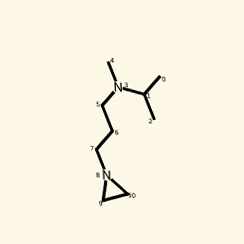 CC(C)N(C)CCCN1CC1